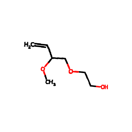 C=CC(COCCO)OC